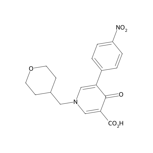 O=C(O)c1cn(CC2CCOCC2)cc(-c2ccc([N+](=O)[O-])cc2)c1=O